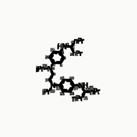 CCCC(CCC)Nc1ccc(N(CCN(c2ccc(NC(CCC)CCC)cc2)C(C)C)C(C)C)cc1